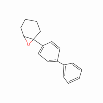 c1ccc(-c2ccc(C34CCCCC3O4)cc2)cc1